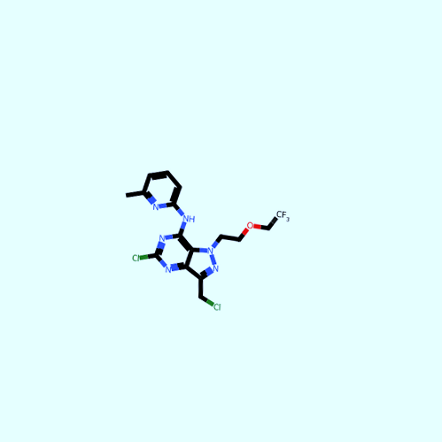 Cc1cccc(Nc2nc(Cl)nc3c(CCl)nn(CCOCC(F)(F)F)c23)n1